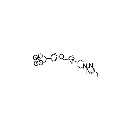 CCc1cnc(N2CCC(c3nc(COc4ccc(C5COS(=O)(=O)OC5)cc4)cs3)CC2)nc1